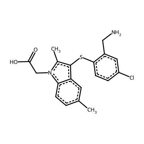 Cc1ccc2c(c1)c(Sc1ccc(Cl)cc1CN)c(C)n2CC(=O)O